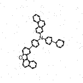 c1ccc(-c2ccc(N(c3ccc(-c4ccc5oc6ccc7ccccc7c6c5c4)cc3)c3ccc4c(ccc5ccccc54)c3)cc2)cc1